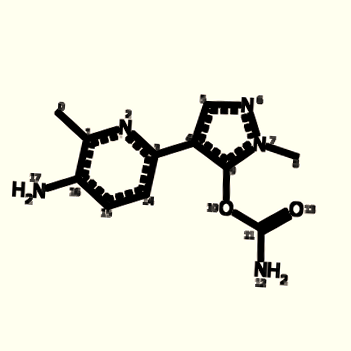 Cc1nc(-c2cnn(C)c2OC(N)=O)ccc1N